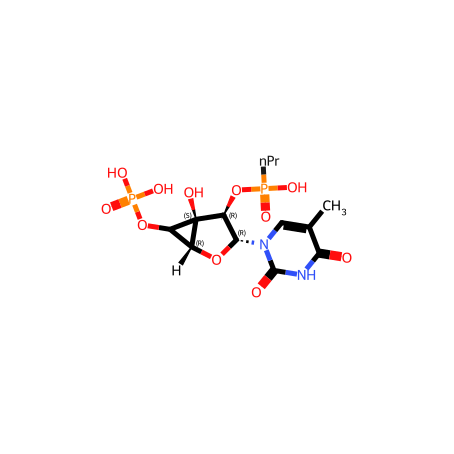 CCCP(=O)(O)O[C@H]1[C@H](n2cc(C)c(=O)[nH]c2=O)O[C@@H]2C(OP(=O)(O)O)[C@@]21O